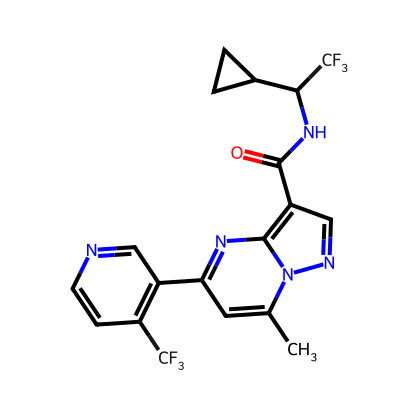 Cc1cc(-c2cnccc2C(F)(F)F)nc2c(C(=O)NC(C3CC3)C(F)(F)F)cnn12